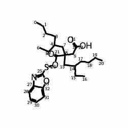 CCCCC(CC)CC(CC(=O)O)(CC(CC)CCCC)C(=O)OSc1nc2ccccc2o1